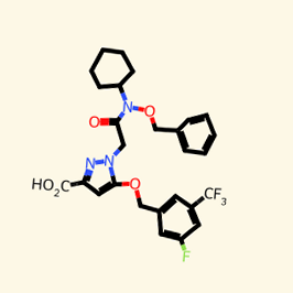 O=C(O)c1cc(OCc2cc(F)cc(C(F)(F)F)c2)n(CC(=O)N(OCc2ccccc2)C2CCCCC2)n1